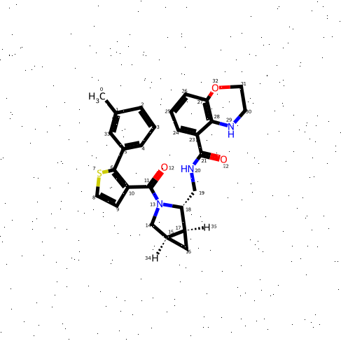 Cc1cccc(-c2sccc2C(=O)N2C[C@@H]3C[C@@H]3[C@H]2CNC(=O)c2cccc3c2NCCO3)c1